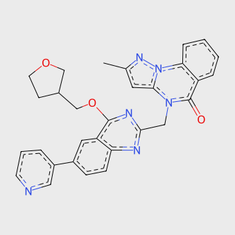 Cc1cc2n(Cc3nc(OCC4CCOC4)c4cc(-c5cccnc5)ccc4n3)c(=O)c3ccccc3n2n1